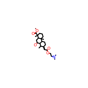 COC(=O)C1(C)CCCC2(C)C3CC/C(=C\C(=O)OCCN(C)C)C(C)C3C(=O)CC12